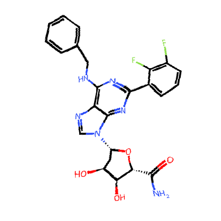 NC(=O)[C@H]1O[C@@H](n2cnc3c(NCc4ccccc4)nc(-c4cccc(F)c4F)nc32)[C@H](O)[C@@H]1O